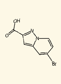 O=C(O)c1cc2cc(Br)ccn2n1